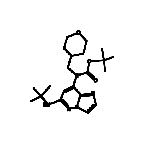 CC(C)(C)Nc1cc(N(CC2CCOCC2)C(=O)OC(C)(C)C)c2nccn2n1